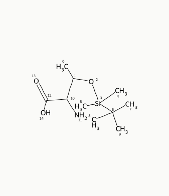 CC(O[Si](C)(C)C(C)(C)C)C(N)C(=O)O